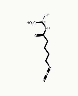 CC(C)[C@H](NC(=O)CCCCN=[N+]=[N-])C(=O)O